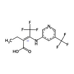 CC/C(C(=O)O)=C(/Nc1cncc(C(F)(F)F)c1)C(F)(F)F